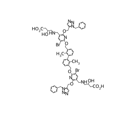 Cc1c(COc2nc(OCc3cnnn3Cc3ccccc3)c(CNCC(O)CC(=O)O)cc2Br)cccc1-c1cccc(COc2nc(OCc3cnnn3Cc3ccccc3)c(CNCC(O)CC(=O)O)cc2Br)c1C